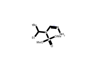 CCC(N(/C=N\N)P(=O)(OC)OC)C(C)(C)C